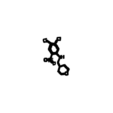 O=[N+]([O-])c1cc(Cl)c(Cl)cc1NCC1CCOCC1